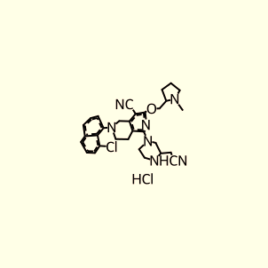 CN1CCCC1COc1nc(N2CCNC(CC#N)C2)c2c(c1C#N)CN(c1cccc3cccc(Cl)c13)CC2.Cl